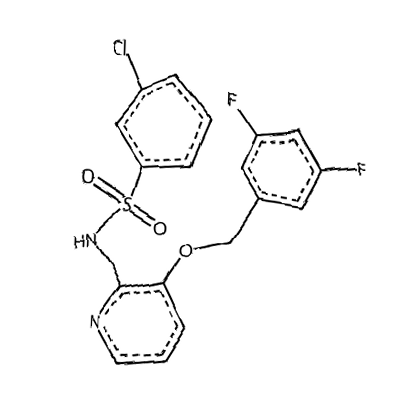 O=S(=O)(Nc1ncccc1OCc1cc(F)cc(F)c1)c1cccc(Cl)c1